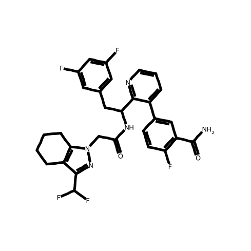 NC(=O)c1cc(-c2cccnc2C(Cc2cc(F)cc(F)c2)NC(=O)Cn2nc(C(F)F)c3c2CCCC3)ccc1F